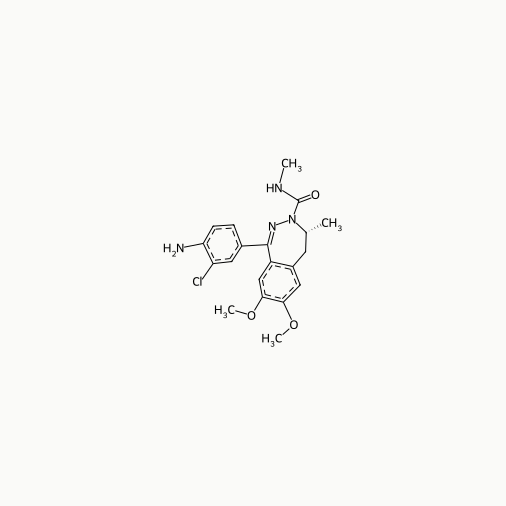 CNC(=O)N1N=C(c2ccc(N)c(Cl)c2)c2cc(OC)c(OC)cc2C[C@H]1C